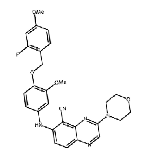 COc1ccc(COc2ccc(Nc3ccc4ncc(N5CCOCC5)nc4c3C#N)cc2OC)c(F)c1